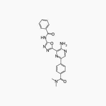 CN(C)C(=O)c1ccc(-c2cnc(N)c(-c3nnc(NC(=O)c4ccccc4)o3)n2)cc1